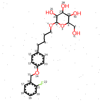 OCC1OC(OCCCCc2ccc(OCc3ccccc3F)cc2)C(O)C(O)C1O